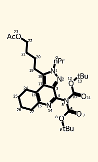 CCCn1nc2c(N(C(=O)OC(C)(C)C)C(=O)OC(C)(C)C)nc3c(c2c1CCCCOC(C)=O)CCCC3